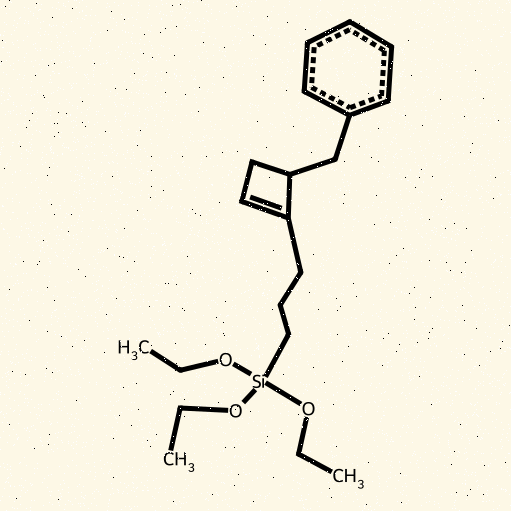 CCO[Si](CCCC1=CCC1Cc1ccccc1)(OCC)OCC